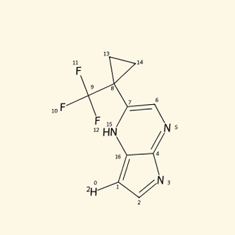 [2H]c1cnc2ncc(C3(C(F)(F)F)CC3)[nH]c1-2